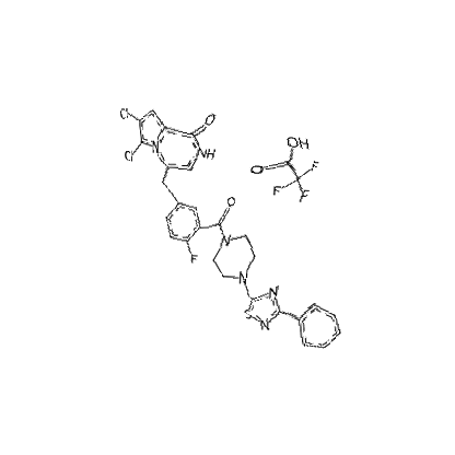 O=C(O)C(F)(F)F.O=C(c1cc(Cc2c[nH]c(=O)c3cc(Cl)c(Cl)n23)ccc1F)N1CCN(c2nc(-c3ccccc3)ns2)CC1